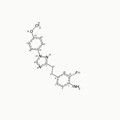 Nc1ccc(CCc2ncn(-c3ccc(OC(F)(F)F)cc3)n2)cc1F